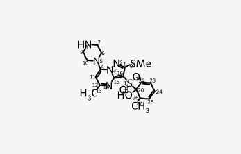 CSc1nn2c(N3CCNCC3)cc(C)nc2c1S(=O)(=O)C1(O)C=CC=CC1C